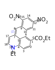 CCOC(=O)c1ccc2c(c1)/C(=C\c1ccc([N+](=O)[O-])cc1[N+](=O)[O-])C=CN2CC